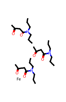 CCCN(CCC)C(=O)CC(C)=O.CCCN(CCC)C(=O)CC(C)=O.CCCN(CCC)C(=O)CC(C)=O.[Fe]